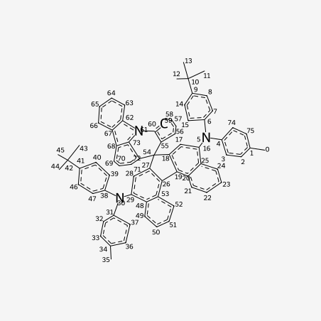 Cc1ccc(N(c2ccc(C(C)(C)C)cc2)c2cc3c(c4ccccc24)-c2c(cc(N(c4ccc(C)cc4)c4ccc(C(C)(C)C)cc4)c4ccccc24)C32c3ccccc3-n3c4ccccc4c4cccc2c43)cc1